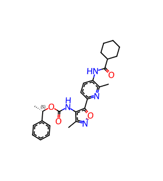 Cc1nc(-c2onc(C)c2NC(=O)O[C@@H](C)c2ccccc2)ccc1NC(=O)C1CCCCC1